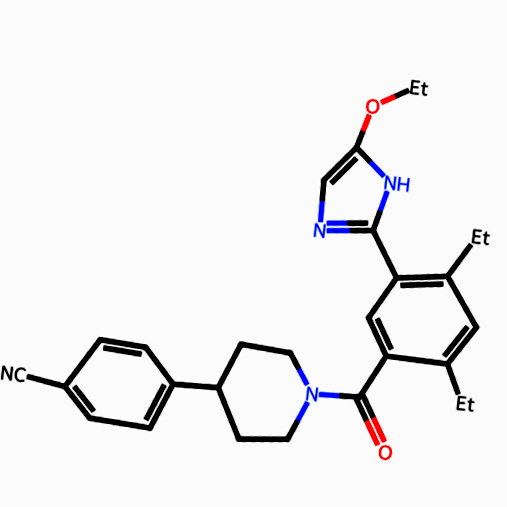 CCOc1cnc(-c2cc(C(=O)N3CCC(c4ccc(C#N)cc4)CC3)c(CC)cc2CC)[nH]1